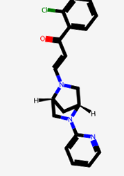 O=C(/C=C/N1C[C@H]2C[C@@H]1CN2c1ccccn1)c1ccccc1Cl